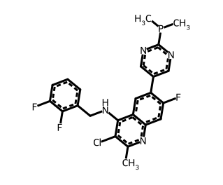 Cc1nc2cc(F)c(-c3cnc(P(C)C)nc3)cc2c(NCc2cccc(F)c2F)c1Cl